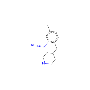 Cc1ccc(CC2CCNCC2)c(N=[N+]=[N-])c1